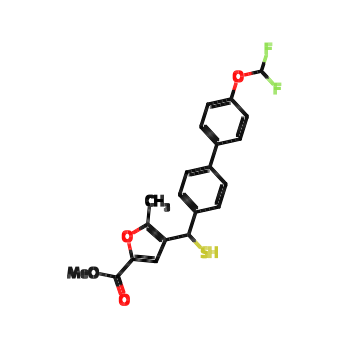 COC(=O)c1cc(C(S)c2ccc(-c3ccc(OC(F)F)cc3)cc2)c(C)o1